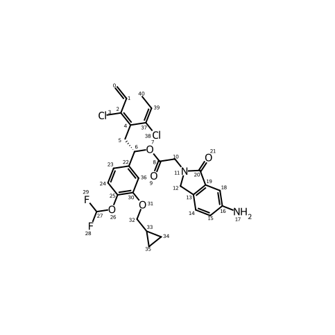 C=C/C(Cl)=C(C[C@H](OC(=O)CN1Cc2ccc(N)cc2C1=O)c1ccc(OC(F)F)c(OCC2CC2)c1)\C(Cl)=C/C